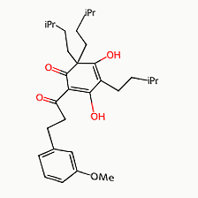 COc1cccc(CCC(=O)C2=C(O)C(CCC(C)C)=C(O)C(CCC(C)C)(CCC(C)C)C2=O)c1